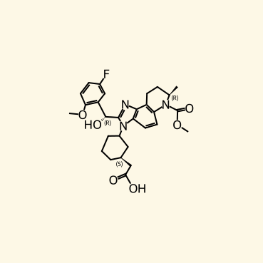 COC(=O)N1c2ccc3c(nc([C@H](O)c4cc(F)ccc4OC)n3C3CCC[C@H](CC(=O)O)C3)c2CC[C@H]1C